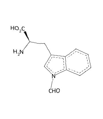 N[C@H](Cc1cn(C=O)c2ccccc12)C(=O)O